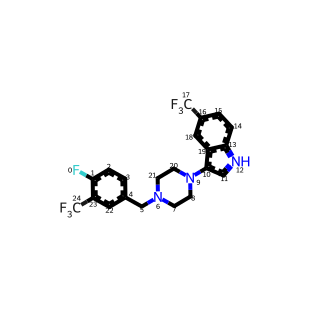 Fc1ccc(CN2CCN(c3[c][nH]c4ccc(C(F)(F)F)cc34)CC2)cc1C(F)(F)F